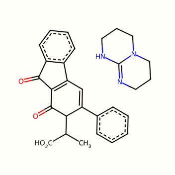 C1CN=C2NCCCN2C1.CC(C(=O)O)C1C(=O)C2=C(C=C1c1ccccc1)c1ccccc1C2=O